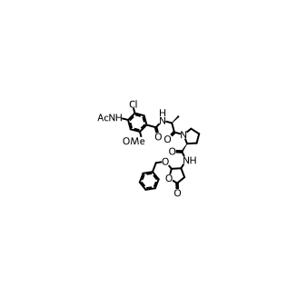 COc1cc(NC(C)=O)c(Cl)cc1C(=O)N[C@@H](C)C(=O)N1CCC[C@H]1C(=O)NC1CC(=O)OC1OCc1ccccc1